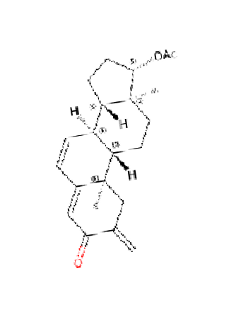 C=C1C[C@@]2(C)C(=CC1=O)C=C[C@H]1[C@@H]3CC[C@H](OC(C)=O)[C@@]3(C)CC[C@@H]12